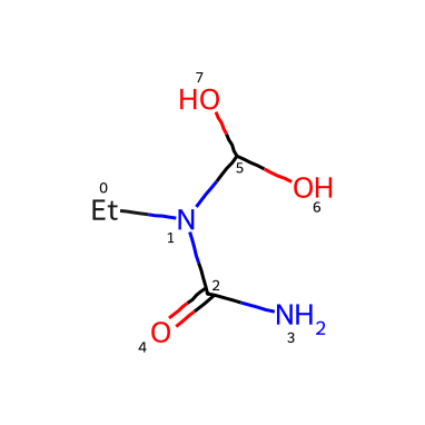 CCN(C(N)=O)C(O)O